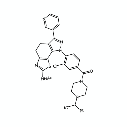 CCC(CC)N1CCN(C(=O)c2ccc(-n3nc(-c4cccnc4)c4c3-c3sc(NC(C)=O)nc3CC4)c(Cl)c2)CC1